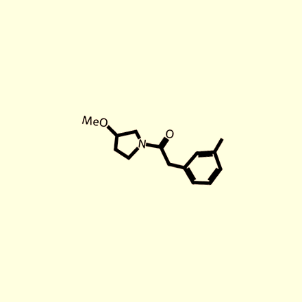 COC1CCN(C(=O)Cc2cccc(C)c2)C1